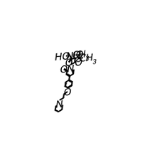 CC(CCn1ccc(-c2ccc(OCCCN3CCCCC3)cc2)cc1=O)(C(=O)NO)S(C)(=O)=O